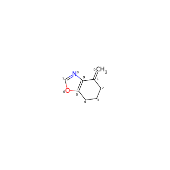 C=C1CCCc2ocnc21